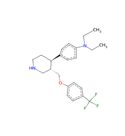 CCN(CC)c1ccc([C@@H]2CCNC[C@H]2COc2ccc(C(F)(F)F)cc2)cc1